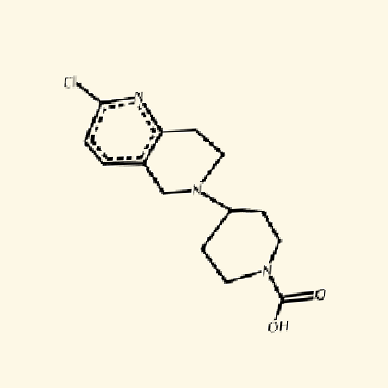 O=C(O)N1CCC(N2CCc3nc(Cl)ccc3C2)CC1